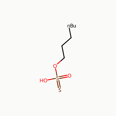 CCCCCCCOS(=O)(O)=S